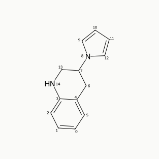 c1ccc2c(c1)CC(n1cccc1)CN2